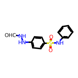 O=CNNc1ccc(S(=O)(=O)Nc2ccccc2)cc1